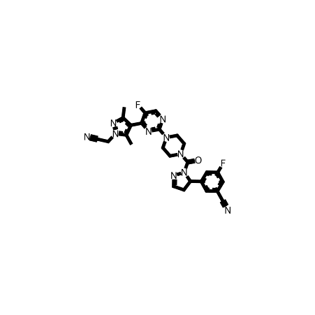 Cc1nn(CC#N)c(C)c1-c1nc(N2CCN(C(=O)N3N=CCC3c3cc(F)cc(C#N)c3)CC2)ncc1F